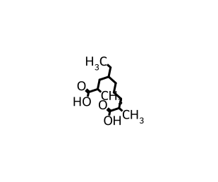 CCC(CCCC(C)C(=O)O)CC(C)C(=O)O